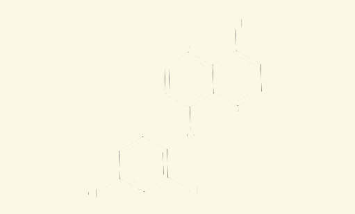 Oc1cccc2c(Oc3ccc(Cl)cc3Cl)cccc12